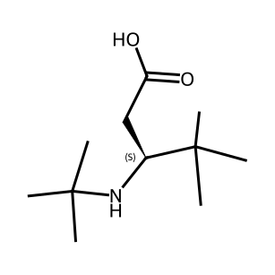 CC(C)(C)N[C@@H](CC(=O)O)C(C)(C)C